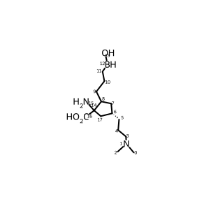 CN(C)CCC[C@H]1CC(CCCBO)C(N)(C(=O)O)C1